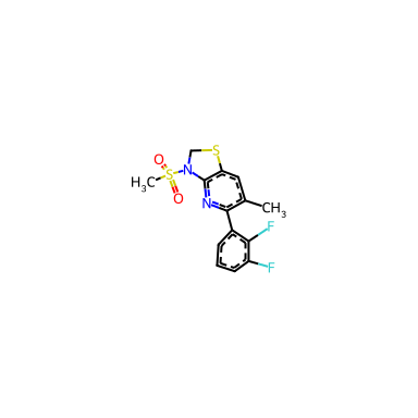 Cc1cc2c(nc1-c1cccc(F)c1F)N(S(C)(=O)=O)CS2